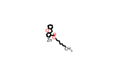 CCCCCCCCOC(=O)c1cccc2c1Cc1ccccc1O2.[Zn]